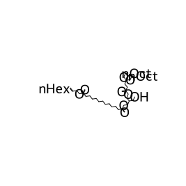 CCCCCCC=CCOC(=O)CCCCCCCCCCCC(=O)OCC(CO)COC(=O)CCC(OCCCCCCCC)OCCCCCCCC